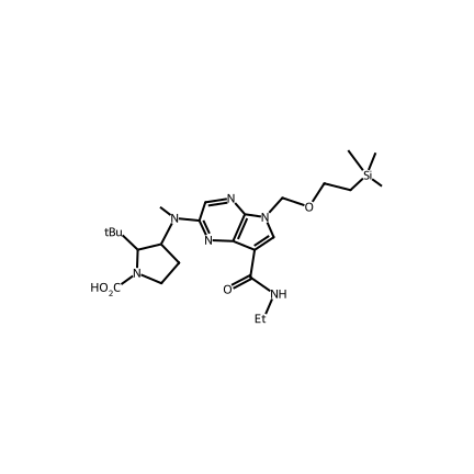 CCNC(=O)c1cn(COCC[Si](C)(C)C)c2ncc(N(C)C3CCN(C(=O)O)C3C(C)(C)C)nc12